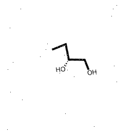 CC[C@@H](O)CO